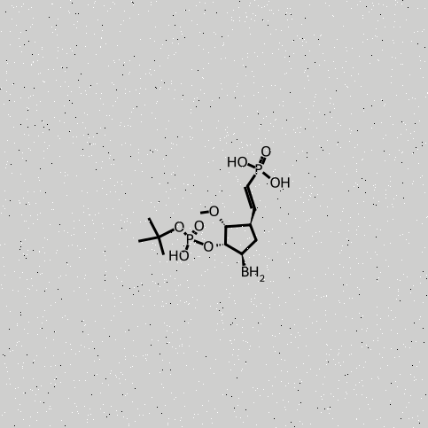 B[C@@H]1C[C@H](/C=C/P(=O)(O)O)[C@@H](OC)[C@H]1OP(=O)(O)OC(C)(C)C